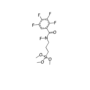 CO[Si](CCCN(F)C(=O)c1cc(F)c(F)c(F)c1F)(OC)OC